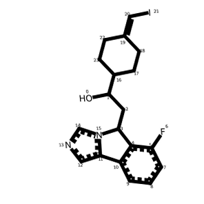 OC(CC1c2c(F)cccc2-c2cncn21)C1CCC(=CI)CC1